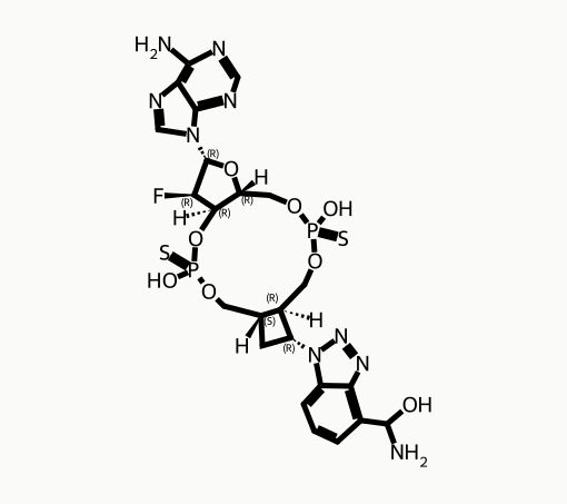 Nc1ncnc2c1ncn2[C@@H]1O[C@@H]2COP(O)(=S)OC[C@@H]3[C@@H](COP(O)(=S)O[C@H]2[C@H]1F)C[C@H]3n1nnc2c(C(N)O)cccc21